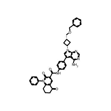 Nc1ncnc2c1c(-c1ccc(NC(=O)c3cc4c(n(-c5ccccc5)c3=O)CCCC4=O)cc1)cn2[C@H]1C[C@@H](COCc2ccccc2)C1